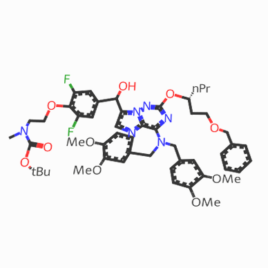 CCC[C@H](CCOCc1ccccc1)Oc1nc(N(Cc2ccc(OC)c(OC)c2)Cc2ccc(OC)c(OC)c2)c2ncc(C(O)c3cc(F)c(OCCN(C)C(=O)OC(C)(C)C)c(F)c3)n2n1